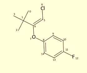 CC(C)(C)C(=CCl)Oc1ccc(F)cc1